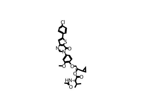 COc1cc(-n2cnc3cc(-c4ccc(Cl)cc4)sc3c2=O)ccc1OC[C@H](OC(=O)[C@@H](NC(C)=O)C(C)C)C1CC1